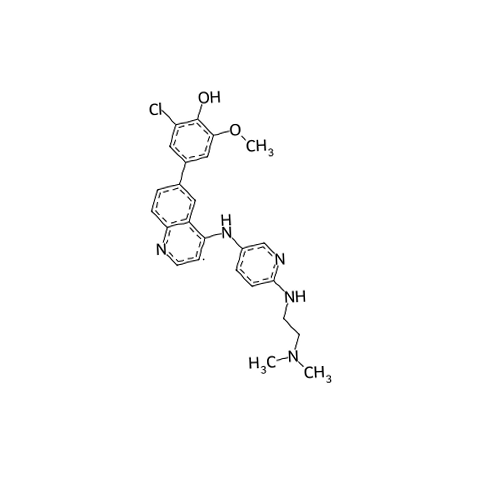 COc1cc(-c2ccc3nc[c]c(Nc4ccc(NCCN(C)C)nc4)c3c2)cc(Cl)c1O